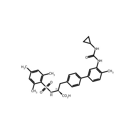 Cc1cc(C)c(S(=O)(=O)N[C@@H](Cc2ccc(-c3ccc(C)c(NC(=O)NC4CC4)c3)cc2)C(=O)O)c(C)c1